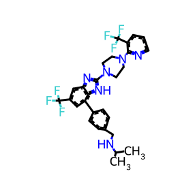 CC(C)NCc1ccc(-c2cc(C(F)(F)F)cc3nc(N4CCN(c5ncccc5C(F)(F)F)CC4)[nH]c23)cc1